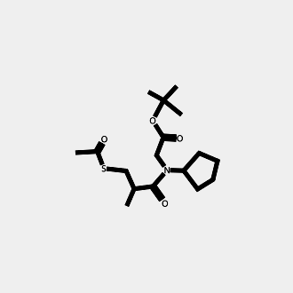 CC(=O)SCC(C)C(=O)N(CC(=O)OC(C)(C)C)C1CCCC1